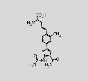 Cc1cc(-c2cc(C(N)=O)c(NC(N)=O)s2)ccc1C=CCC(N)C(=O)O